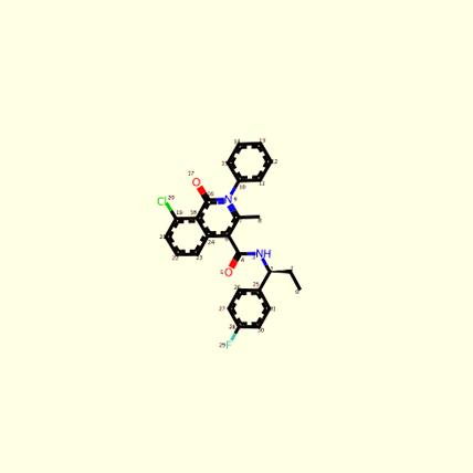 CC[C@H](NC(=O)c1c(C)n(-c2ccccc2)c(=O)c2c(Cl)cccc12)c1ccc(F)cc1